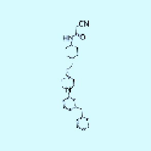 N#CCC(=O)N[C@H]1CC[C@H](CCN2CCN(c3cccc(Cc4ccccc4)c3)CC2)CC1